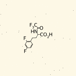 O=C(O)C(CCc1ccc(F)cc1F)NC(=O)C(F)(F)F